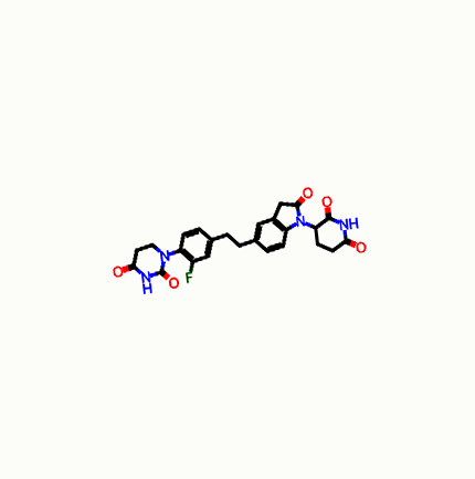 O=C1CCC(N2C(=O)Cc3cc(CCc4ccc(N5CCC(=O)NC5=O)c(F)c4)ccc32)C(=O)N1